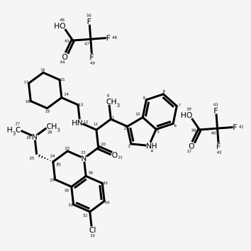 CC(c1c[nH]c2ccccc12)C(NCC1CCCCC1)C(=O)N1C[C@@H](CN(C)C)Cc2cc(Cl)ccc21.O=C(O)C(F)(F)F.O=C(O)C(F)(F)F